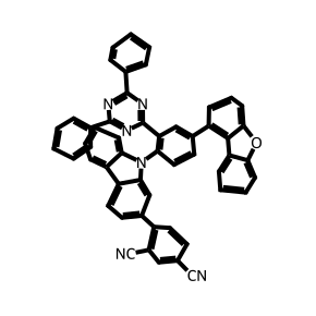 N#Cc1ccc(-c2ccc3c4ccccc4n(-c4ccc(-c5cccc6oc7ccccc7c56)cc4-c4nc(-c5ccccc5)nc(-c5ccccc5)n4)c3c2)c(C#N)c1